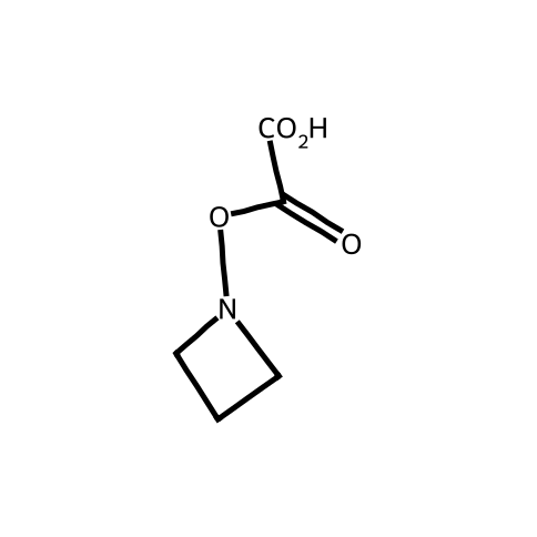 O=C(O)C(=O)ON1CCC1